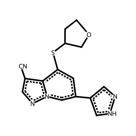 N#Cc1cnn2cc(-c3cn[nH]c3)cc(SC3CCOC3)c12